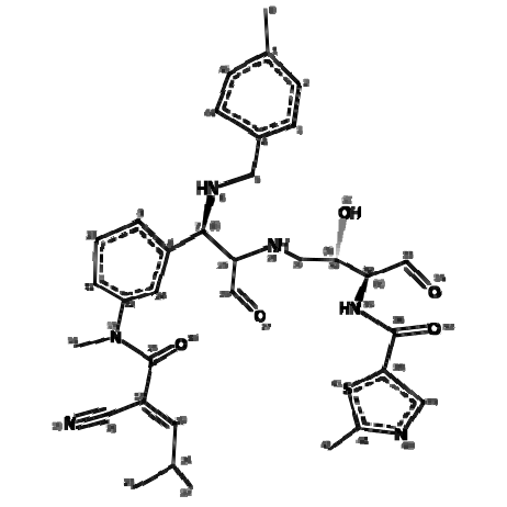 Cc1ccc(CN[C@H](c2cccc(N(C)C(=O)C(C#N)=CC(C)C)c2)C(C=O)NC[C@H](O)[C@@H](C=O)NC(=O)c2cnc(C)s2)cc1